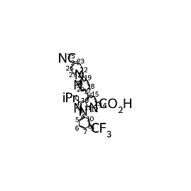 CC(C)c1nn(-c2cccc(C(F)(F)F)c2)c2nc(C(=O)O)cc(-c3ccc(N4CCC(C#N)CC4)nc3)c12